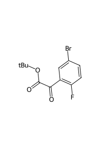 CC(C)(C)OC(=O)C(=O)c1cc(Br)ccc1F